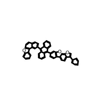 c1ccc(-c2coc3c2ccc2c4ccc(-c5c6ccccc6c(-c6ccc7ccc8oc9ccccc9c8c7c6)c6ccccc56)cc4oc23)cc1